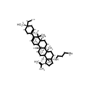 C=C(C)[C@@H]1CC[C@]2(NCCCC(C)(C)C)CC[C@]3(C)[C@H](CC[C@@H]4[C@@]5(C)CC=C(C6=CC[C@](CF)(C(=O)O)CC6)C(C)(C)[C@@H]5CC[C@]43C)[C@@H]12